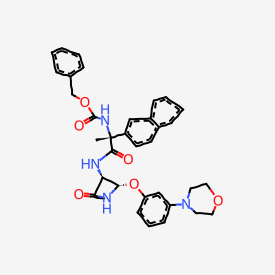 C[C@](NC(=O)OCc1ccccc1)(C(=O)N[C@@H]1C(=O)N[C@H]1Oc1cccc(N2CCOCC2)c1)c1ccc2ccccc2c1